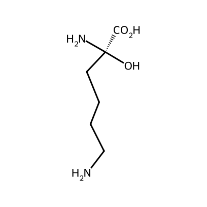 NCCCC[C@@](N)(O)C(=O)O